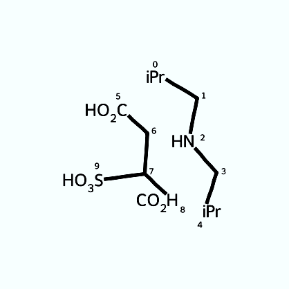 CC(C)CNCC(C)C.O=C(O)CC(C(=O)O)S(=O)(=O)O